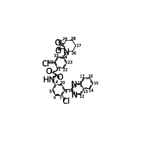 O=S(=O)(Nc1ccc(Cl)c(-c2ncc3ccccc3n2)c1)c1ccc(N2CCCCS2(=O)=O)cc1Cl